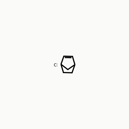 C1=CC2CCC1C2.[C]